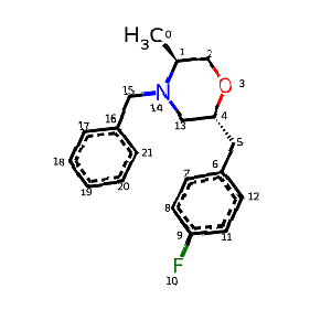 C[C@H]1CO[C@H](Cc2ccc(F)cc2)CN1Cc1ccccc1